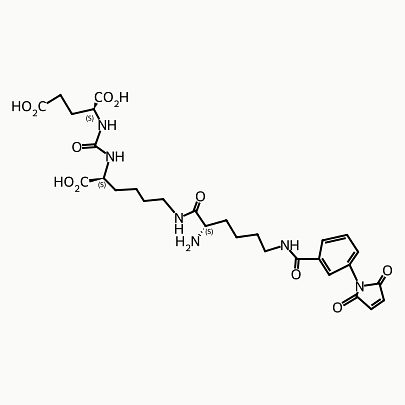 N[C@@H](CCCCNC(=O)c1cccc(N2C(=O)C=CC2=O)c1)C(=O)NCCCC[C@H](NC(=O)N[C@@H](CCC(=O)O)C(=O)O)C(=O)O